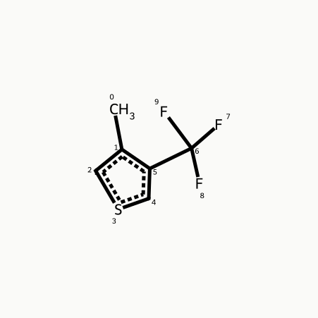 Cc1[c]scc1C(F)(F)F